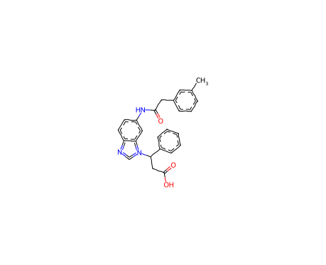 Cc1cccc(CC(=O)Nc2ccc3ncn(C(CC(=O)O)c4ccccc4)c3c2)c1